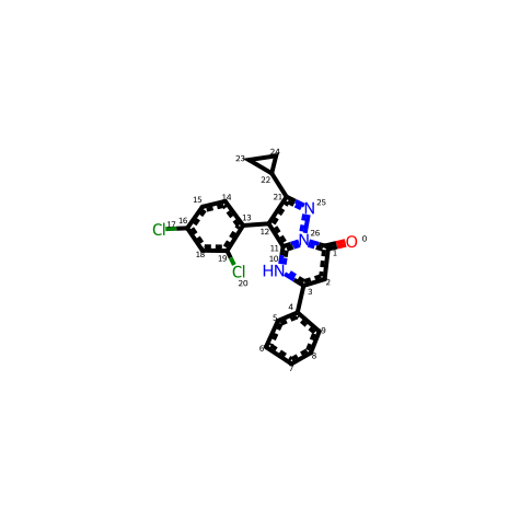 O=c1cc(-c2ccccc2)[nH]c2c(-c3ccc(Cl)cc3Cl)c(C3CC3)nn12